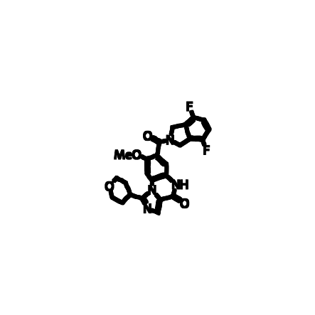 COc1cc2c(cc1C(=O)N1Cc3c(F)ccc(F)c3C1)[nH]c(=O)c1cnc(C3CCOCC3)n12